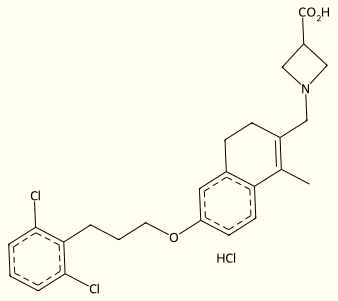 CC1=C(CN2CC(C(=O)O)C2)CCc2cc(OCCCc3c(Cl)cccc3Cl)ccc21.Cl